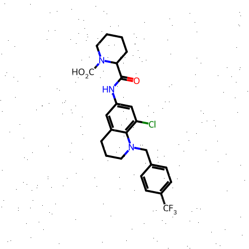 O=C(Nc1cc(Cl)c2c(c1)CCCN2Cc1ccc(C(F)(F)F)cc1)C1CCCCN1C(=O)O